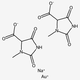 CN1C(=O)NC(=O)C1C(=O)[O-].CN1C(=O)NC(=O)C1C(=O)[O-].[Au+].[Na+]